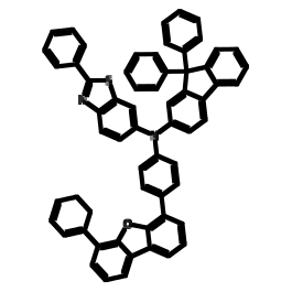 C1=CCCC(c2cccc3c2oc2c(-c4ccc(N(c5ccc6c(c5)C(c5ccccc5)(c5ccccc5)c5ccccc5-6)c5ccc6nc(-c7ccccc7)sc6c5)cc4)cccc23)=C1